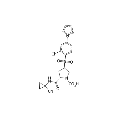 N#CC1(NC(=O)[C@@H]2C[C@@H](S(=O)(=O)c3ccc(-n4cccn4)cc3Cl)CN2C(=O)O)CC1